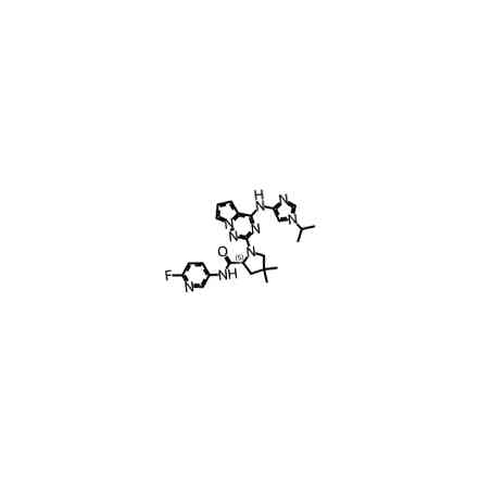 CC(C)n1cnc(Nc2nc(N3CC(C)(C)C[C@H]3C(=O)Nc3ccc(F)nc3)nn3cccc23)c1